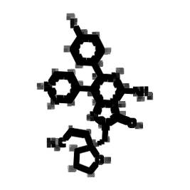 C/C=C\[C@]1(Cn2nc3c(-c4ccnnc4)c(-c4ccc(F)cc4)nc(N)n3c2=O)CCCO1